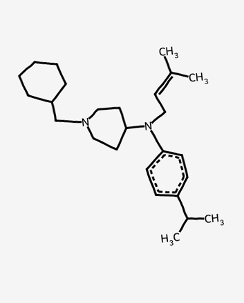 CC(C)=CCN(c1ccc(C(C)C)cc1)C1CCN(CC2CCCCC2)CC1